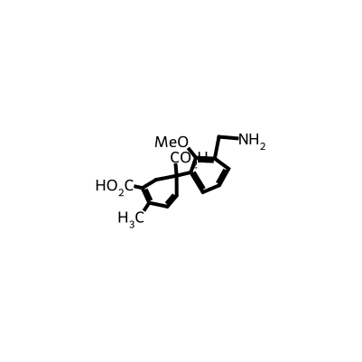 COc1c(CN)cccc1C1(C(=O)O)C=CC(C)=C(C(=O)O)C1